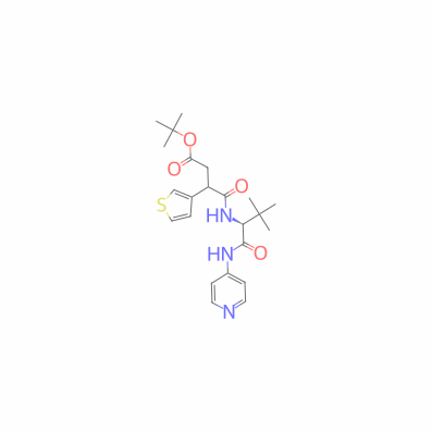 CC(C)(C)OC(=O)CC(C(=O)N[C@H](C(=O)Nc1ccncc1)C(C)(C)C)c1ccsc1